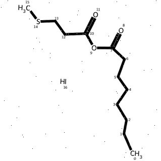 CCCCCCCC(=O)OC(=O)CCSC.I